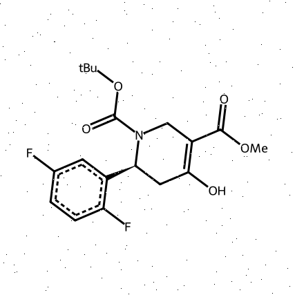 COC(=O)C1=C(O)C[C@@H](c2cc(F)ccc2F)N(C(=O)OC(C)(C)C)C1